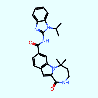 CC(C)n1c(NC(=O)c2ccc3cc4n(c3c2)C(C)(C)CCNC4=O)nc2ccccc21